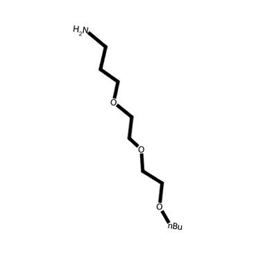 CCCCOCCOCCOCCCN